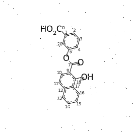 O=C(O)c1cccc(OC(=O)c2ccc3ccccc3c2O)c1